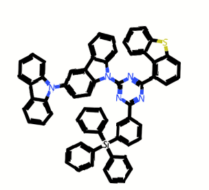 c1ccc([Si](c2ccccc2)(c2ccccc2)c2cccc(-c3nc(-c4cccc5sc6ccccc6c45)nc(-n4c5ccccc5c5cc(-n6c7ccccc7c7ccccc76)ccc54)n3)c2)cc1